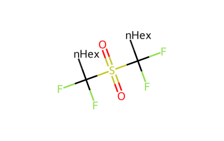 CCCCCCC(F)(F)S(=O)(=O)C(F)(F)CCCCCC